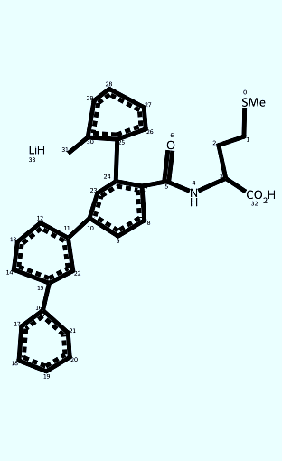 CSCCC(NC(=O)c1ccc(-c2cccc(-c3ccccc3)c2)cc1-c1ccccc1C)C(=O)O.[LiH]